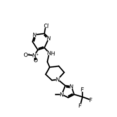 Cn1cc(C(F)(F)F)nc1N1CCC(CNc2nc(Cl)ncc2[N+](=O)[O-])CC1